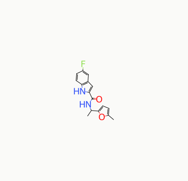 Cc1ccc(C(C)NC(=O)c2cc3cc(F)ccc3[nH]2)o1